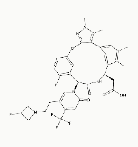 Cc1cc2cc(c1F)[C@@H](CC(=O)O)NC(=O)[C@@H](n1cc(CCN3CC(F)C3)c(C(F)(F)F)cc1=O)c1cc(ccc1F)Oc1nn(C)c(C)c1-2